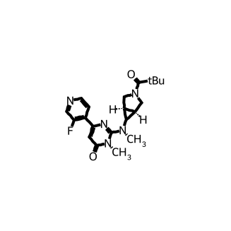 CN(c1nc(-c2ccncc2F)cc(=O)n1C)C1[C@H]2CN(C(=O)C(C)(C)C)C[C@@H]12